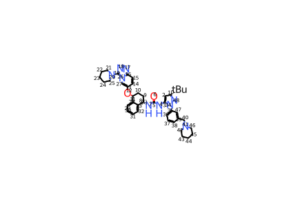 CC(C)(C)c1cc(NC(=O)N[C@H]2CCC(Oc3ccc4nnc(N5CCCCC5)n4c3)c3ccccc32)n(-c2cccc(CN3CCCCC3)c2)n1